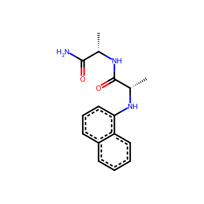 C[C@H](NC(=O)[C@H](C)Nc1cccc2ccccc12)C(N)=O